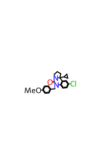 COc1ccc(CN2C(=O)N3CCCC3(C3CC3)c3cc(Cl)ccc32)cc1